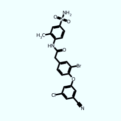 Cc1cc(S(N)(=O)=O)ccc1NC(=O)Cc1ccc(Oc2cc(Cl)cc(C#N)c2)c(Br)c1